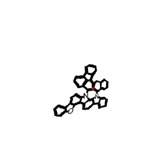 c1ccc2c(c1)-c1cccc3c(-n4c5ccc6c7ccccc7oc6c5c5ccc6c7ccccc7n(-c7cccc8ccccc78)c6c54)ccc-2c13